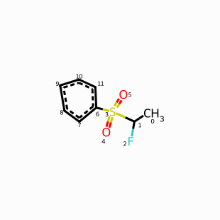 CC(F)S(=O)(=O)c1ccccc1